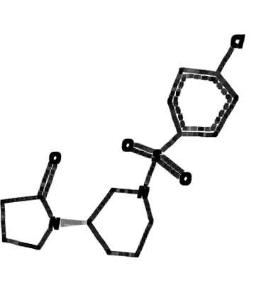 O=C1CCCN1[C@H]1CCCN(S(=O)(=O)c2ccc(Cl)cc2)C1